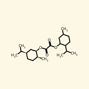 CC1CCC(C(C)C)C(OC(=O)C(=O)O[C@@H]2C[C@H](C(C)C)CC[C@@H]2C)C1